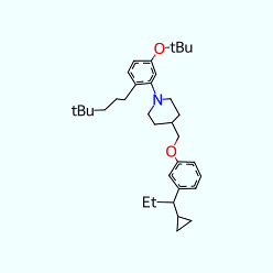 CCC(c1cccc(OCC2CCN(c3cc(OC(C)(C)C)ccc3CCCC(C)(C)C)CC2)c1)C1CC1